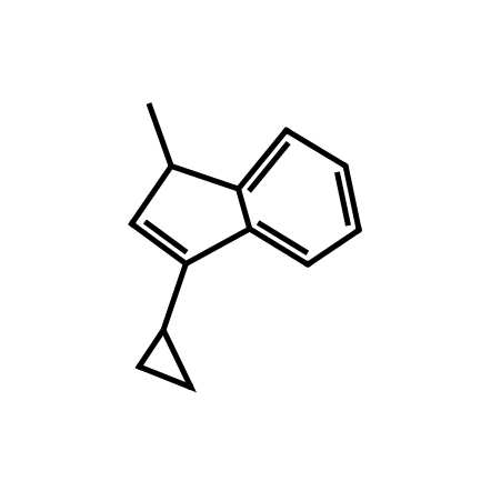 CC1C=C(C2CC2)c2ccccc21